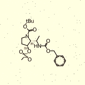 CC(NC(=O)OCc1ccccc1)[C@@H]1[C@@H](OS(C)(=O)=O)CCN1C(=O)OC(C)(C)C